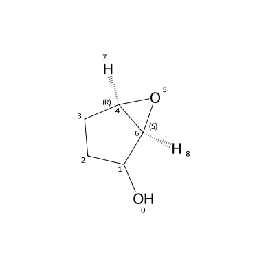 OC1CC[C@H]2O[C@@H]12